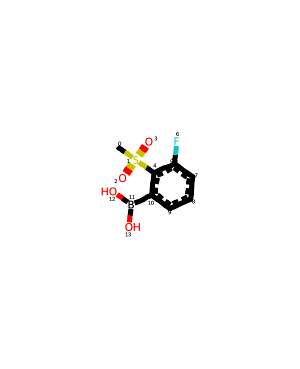 CS(=O)(=O)c1c(F)cccc1B(O)O